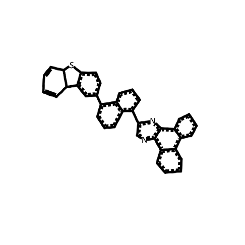 C1=CC2Sc3ccc(-c4cccc5c(-c6cnc7c8ccccc8c8ccccc8c7n6)cccc45)cc3C2C=C1